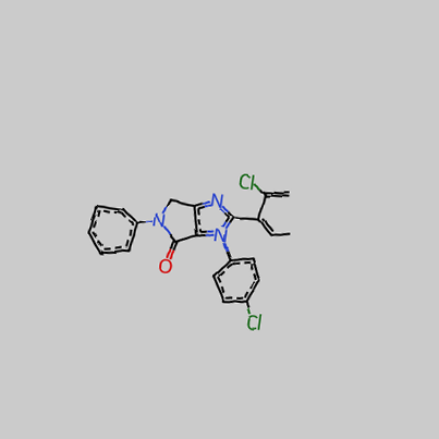 C=C(Cl)C(=CC)c1nc2c(n1-c1ccc(Cl)cc1)C(=O)N(c1ccccc1)C2